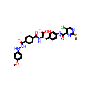 COc1ccc(NNC(=O)C2CCC(C(=O)N[C@@H](Cc3ccc(NC(=O)c4nc(SC)ncc4Cl)cc3)C(=O)O)CC2)cc1